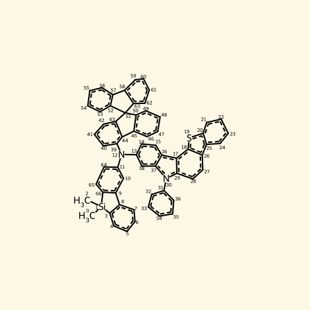 C[Si]1(C)c2ccccc2-c2cc(N(c3ccc4c5c6sc7ccccc7c6ccc5n(-c5ccccc5)c4c3)c3cccc4c3-c3ccccc3C43c4ccccc4-c4ccccc43)ccc21